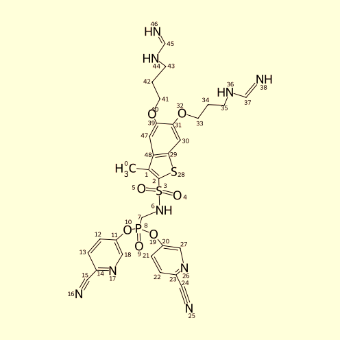 Cc1c(S(=O)(=O)NCP(=O)(Oc2ccc(C#N)nc2)Oc2ccc(C#N)nc2)sc2cc(OCCCNC=N)c(OCCCNC=N)cc12